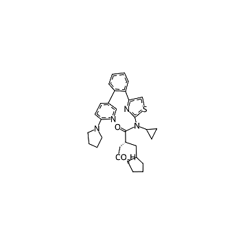 O=C(O)C[C@@H](CC1CCCC1)C(=O)N(c1nc(-c2ccccc2-c2ccc(N3CCCC3)nc2)cs1)C1CC1